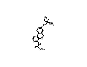 COC(=O)Nc1nccc2c1OCc1cc(OCC(C)(N)CC(C)C)ccc1-2